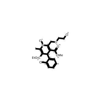 CCOC(=O)C1=C(C)N(Cl)C(COCCCl)=C(C(=O)OC)C1c1ccccc1Cl